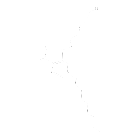 CCCCCCCCOc1ccc(C(=O)O)c(OCCCCCCN)c1